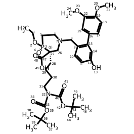 CCOP1(=O)CCN(Cc2ccc(O)cc2-c2ccc(OC)c(OC)c2)C[C@@]1(CCCCN(C(=O)OC(C)(C)C)C(=O)OC(C)(C)C)C(=O)O